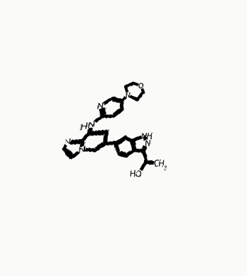 CC(O)c1n[nH]c2cc(-c3cc(Nc4ccc(N5CCOCC5)cn4)c4nccn4c3)ccc12